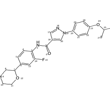 O=C(Nc1ccc(C2CNCCO2)cc1F)c1cnn(-c2ccc(OC(F)F)cc2)c1